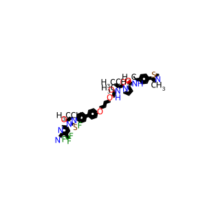 Cc1ncsc1-c1ccc([C@H](C)NC(=O)[C@@H]2CCCN2C(=O)C(NC(=O)COCCCCOc2ccc(-c3ccc(N4C(=S)N(c5cnc(C#N)c(C(F)(F)F)c5)C(=O)C4(C)C)c(F)c3)cc2)C(C)(C)C)cc1